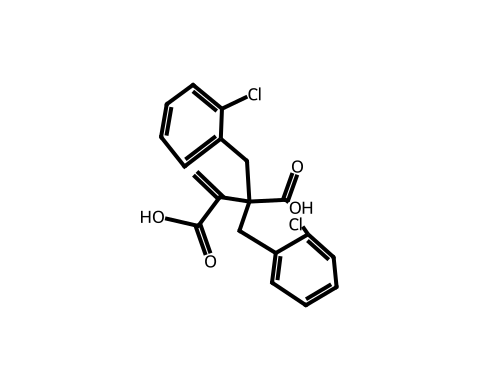 C=C(C(=O)O)C(Cc1ccccc1Cl)(Cc1ccccc1Cl)C(=O)O